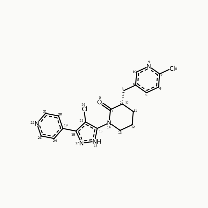 O=C1[C@H](Cc2ccc(Cl)nc2)CCCN1c1[nH]nc(-c2ccncc2)c1Cl